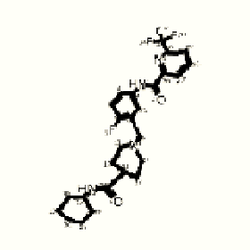 O=C(Nc1ccc(F)c(CN2CCC(C(=O)NC3CCCCC3)CC2)c1)c1cccc(C(F)(F)F)n1